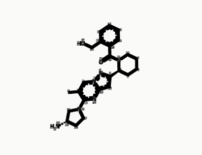 Cc1cn2nc([C@@H]3CCCCN3C(=O)c3ccccc3CO)cc2nc1N1CC[C@H](N)C1